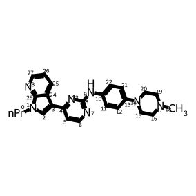 CCCn1cc(-c2ccnc(Nc3ccc(N4CCN(C)CC4)cc3)n2)c2cccnc21